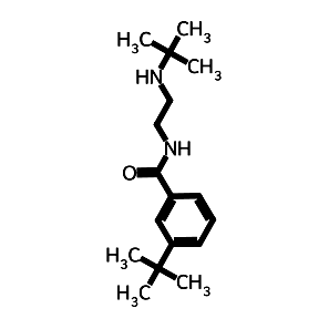 CC(C)(C)NCCNC(=O)c1cccc(C(C)(C)C)c1